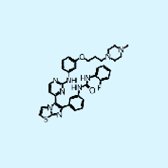 CN1CCN(CCCOc2cccc(Nc3nccc(-c4c(-c5cccc(NC(=O)Nc6ccccc6F)c5)nc5sccn45)n3)c2)CC1